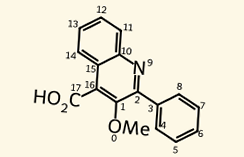 COc1c(-c2ccccc2)nc2ccccc2c1C(=O)O